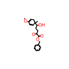 COC1=CCC(C)(C(O)CCC(=O)C(=O)OCc2ccccc2)C=C1